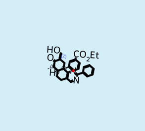 CCOC(=O)c1cccc([C@]23C/C(=C/O)C(=O)[C@@H](C)[C@@H]2CCc2cnc(-c4ccccc4)nc23)c1